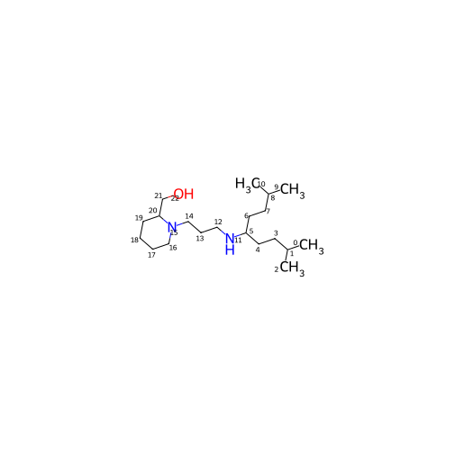 CC(C)CCC(CCC(C)C)NCCCN1CCCCC1CO